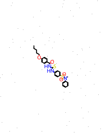 CCCCCOc1ccc(C(=O)NC(=S)Nc2ccc(S(=O)(=O)N(C)c3ccccc3)cc2)cc1